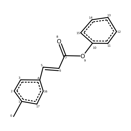 Cc1ccc(/C=C/C(=O)Oc2ccccc2)cc1